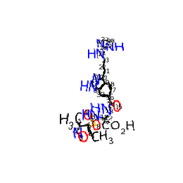 Cc1noc(C)c1S(=O)(=O)NC(CNC(=O)c1ccc2c(CCCNC3=NCCN3)n[nH]c2c1)C(=O)O